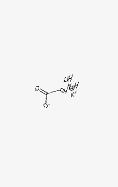 O=C([O-])O.[K+].[LiH].[NaH]